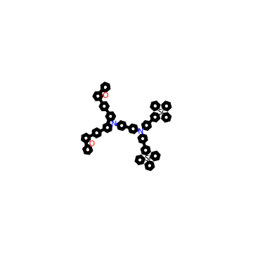 c1ccc([Si](c2ccccc2)(c2ccccc2)c2ccc(-c3ccc(N(c4ccc(-c5ccc(-n6c7ccc(-c8ccc(-c9cccc%10c9oc9ccccc9%10)cc8)cc7c7cc(-c8ccc(-c9cccc%10c9oc9ccccc9%10)cc8)ccc76)cc5)cc4)c4ccc(-c5ccc([Si](c6ccccc6)(c6ccccc6)c6ccccc6)cc5)cc4)cc3)cc2)cc1